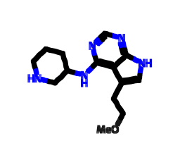 COCCc1c[nH]c2ncnc(NC3CCCNC3)c12